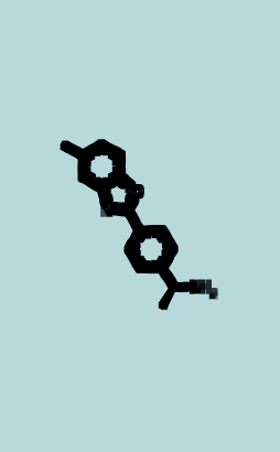 Cc1ccc2oc(-c3ccc([C@H](C)N)cc3)nc2c1